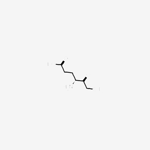 CCC(=O)[C@@H](N)CCC(=O)O